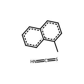 Cc1cccc2ccccc12.N=C=S